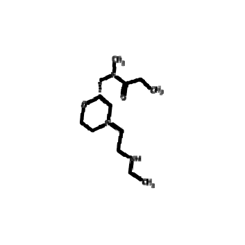 CCNCCN1CCO[C@H](CN(C)C(=O)CC)C1